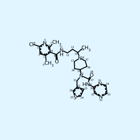 Cc1cc(Cl)nc(C)c1C(=O)NCCC(C)N1CCC(N(Cc2ccsc2)C(=O)Nc2cnccn2)CC1